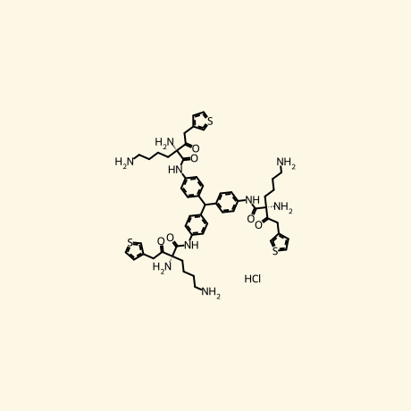 Cl.NCCCC[C@@](N)(C(=O)Cc1ccsc1)C(=O)Nc1ccc(C(c2ccc(NC(=O)[C@@](N)(CCCCN)C(=O)Cc3ccsc3)cc2)c2ccc(NC(=O)[C@@](N)(CCCCN)C(=O)Cc3ccsc3)cc2)cc1